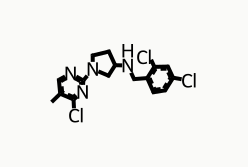 Cc1cnc(N2CCC(NCc3ccc(Cl)cc3Cl)C2)nc1Cl